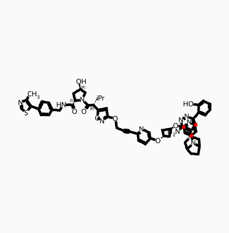 Cc1ncsc1-c1ccc(CNC(=O)[C@@H]2C[C@@H](O)CN2C(=O)[C@@H](c2cc(OCC#Cc3ccc(O[C@H]4C[C@H](Oc5cc(N6C7CCC6CN(c6cc(-c8ccccc8O)nnc6N)C7)ccn5)C4)cn3)no2)C(C)C)cc1